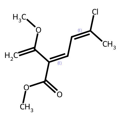 C=C(OC)/C(=C\C=C(/C)Cl)C(=O)OC